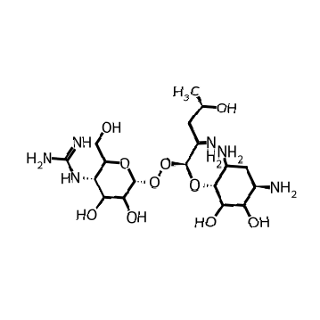 C[C@@H](O)CC(N)[C@H](OO[C@H]1OC(CO)[C@@H](NC(=N)N)C(O)C1O)O[C@@H]1C(N)C[C@@H](N)C(O)C1O